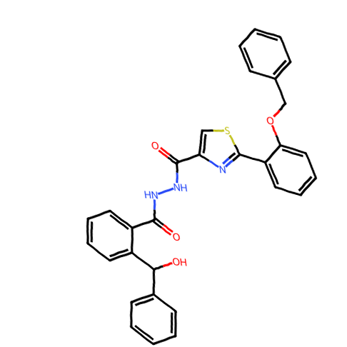 O=C(NNC(=O)c1ccccc1C(O)c1ccccc1)c1csc(-c2ccccc2OCc2ccccc2)n1